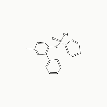 Cc1ccc(OP(=O)(O)c2ccccc2)c(-c2ccccc2)c1